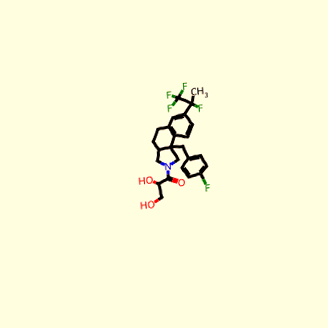 CC(F)(c1ccc2c(c1)CCC1CN(C(=O)C(O)CO)CC21Cc1ccc(F)cc1)C(F)(F)F